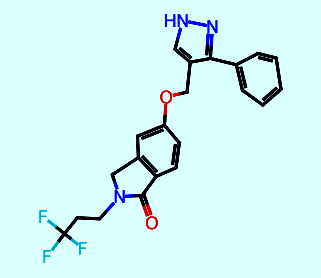 O=C1c2ccc(OCc3c[nH]nc3-c3ccccc3)cc2CN1CCC(F)(F)F